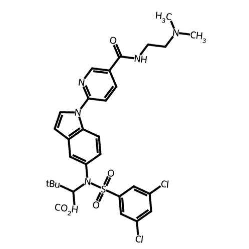 CN(C)CCNC(=O)c1ccc(-n2ccc3cc(N(C(C(=O)O)C(C)(C)C)S(=O)(=O)c4cc(Cl)cc(Cl)c4)ccc32)nc1